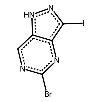 Brc1ncc2[nH]nc(I)c2n1